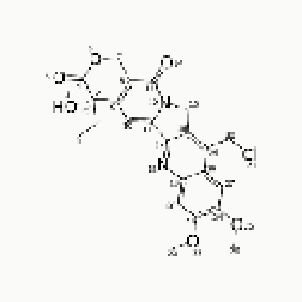 CC[C@@]1(O)C(=O)OCc2c1cc1n(c2=O)Cc2c-1nc1cc(OC)c(OC)cc1c2CCl